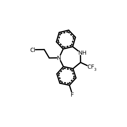 Fc1ccc2c(c1)C(C(F)(F)F)Nc1ccccc1N2CCCl